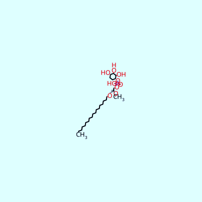 CCCCCCCCCCCCCCCCCCOC[C@H](COP(=O)(O)OC1CCC(O)C(O)C1O)OC